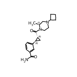 C[C@H]1CN(C2CCC2)CCN1C(=O)[C@@H]1C[C@H]1c1cccc(C(N)=O)c1